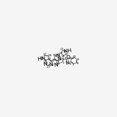 N#CCC(c1nc2ccccc2o1)(C1CCNC1)n1cc(-c2ncnc3[nH]ccc23)cn1